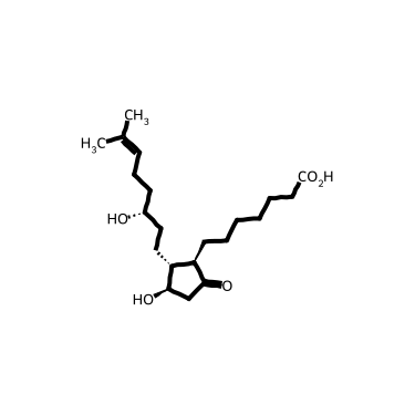 CC(C)=CCC[C@@H](O)CC[C@H]1[C@H](O)CC(=O)[C@@H]1CCCCCCC(=O)O